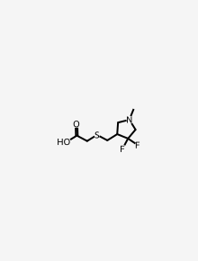 CN1CC(CSCC(=O)O)C(F)(F)C1